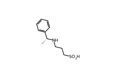 C[C@@H](NCCCS(=O)(=O)O)c1ccccc1